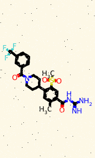 Cc1cc(C2CCN(C(=O)c3cccc(C(F)(F)F)c3)CC2)c(S(C)(=O)=O)cc1C(=O)NC(=N)N